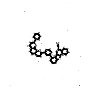 N#Cc1cc2c(oc3cccc(-c4cccc(-c5ccc6ccc7ccc(-c8ccccc8)nc7c6n5)c4)c32)c2ccccc12